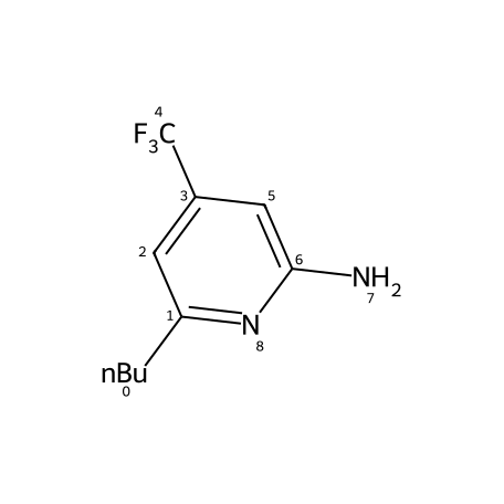 CCCCc1cc(C(F)(F)F)cc(N)n1